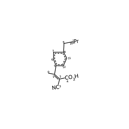 CC(=C(C#N)C(=O)O)c1ccc(CC(C)C)cc1